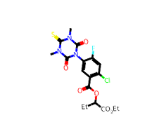 CCOC(=O)C(CC)OC(=O)c1cc(-n2c(=O)n(C)c(=S)n(C)c2=O)c(F)cc1Cl